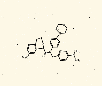 COc1ccc2c(c1)C(C(=O)N(Cc1ccc(N(C)C)cc1)c1ccc(N3CCOCC3)cc1)CCC2